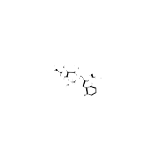 CC(=O)c1nc2c(c(=O)n(Cc3cc4c(Cl)cccc4n3C(=O)O)c(=O)n2C)n1C